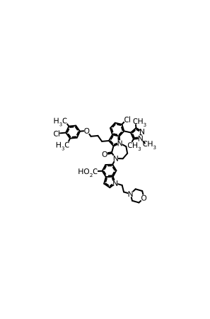 Cc1cc(OCCCc2c3n(c4c(-c5c(C)nn(C)c5C)c(Cl)ccc24)CCCN(c2cc(C(=O)O)c4ccn(CCN5CCOCC5)c4c2)C3=O)cc(C)c1Cl